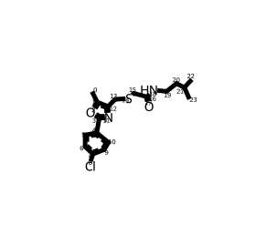 Cc1oc(-c2ccc(Cl)cc2)nc1CSCC(=O)NCCC(C)C